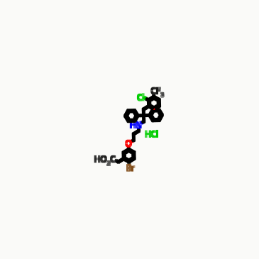 Cl.O=C(O)Cc1cc(OCCCNCC(Cc2cccc(C(F)(F)F)c2Cl)(c2ccccc2)c2ccccc2)ccc1Br